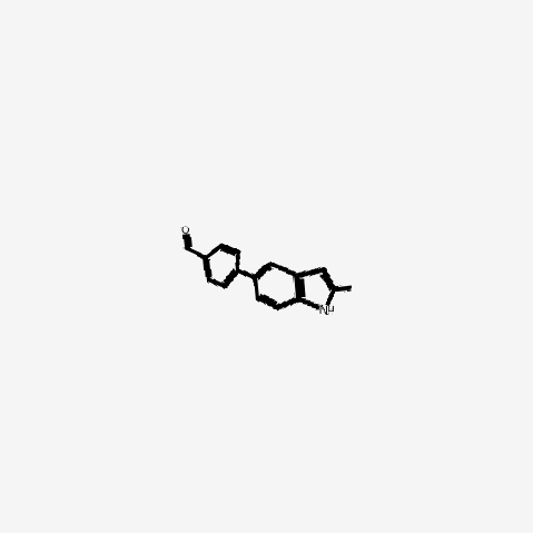 Cc1cc2cc(-c3ccc([C]=O)cc3)ccc2[nH]1